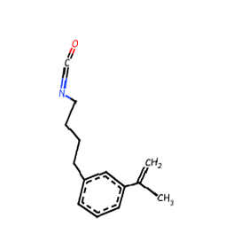 C=C(C)c1cccc(CCCCN=C=O)c1